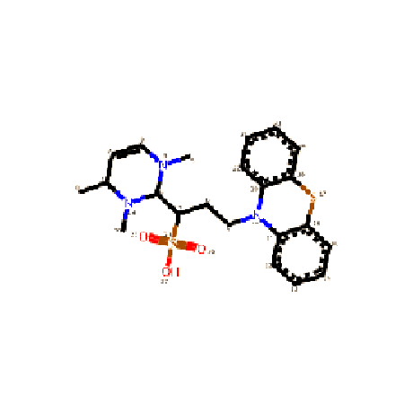 CC1C=CN(C)C(C(CCN2c3ccccc3Sc3ccccc32)S(=O)(=O)O)N1C